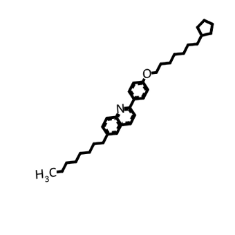 CCCCCCCCc1ccc2nc(-c3ccc(OCCCCCCCC4CCCC4)cc3)ccc2c1